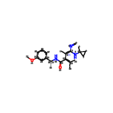 C=N/C(NC1(C)CC1)=C(\C)C(C(=O)N[C@H](C)c1cccc(OC)c1)=C(C)C